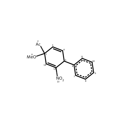 COC1(C(C)=O)C=CC(c2ccccc2)C([N+](=O)[O-])=C1